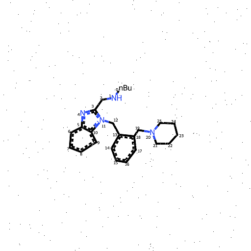 CCCCNCc1nc2ccccc2n1Cc1ccccc1CN1CCCCC1